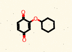 O=C1C=CC(=O)C(OC2CCCCC2)=C1